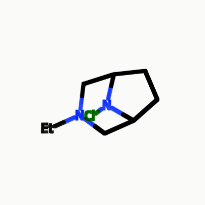 CCN1CC2CCC(C1)N2Cl